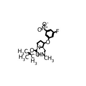 CNC[C@@H]1C(Oc2cc(F)cc([N+](=O)[O-])c2)CCN1C(=O)OC(C)(C)C